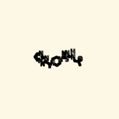 CC(=O)CNc1nnc(N2CCN(C(C)c3nc4ncccn4n3)CC2)s1